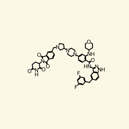 O=C1CCC(N2C(=O)c3ccc(CN4CCC(N5CCN(c6ccc(C(=O)Nc7n[nH]c8ccc(Cc9cc(F)cc(F)c9)cc78)c(NC7CCOCC7)c6)CC5)C4)cc3C2=O)C(=O)N1